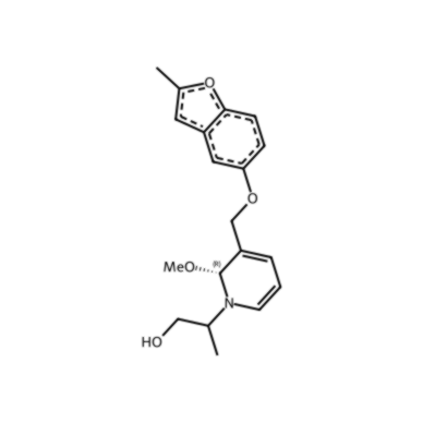 CO[C@@H]1C(COc2ccc3oc(C)cc3c2)=CC=CN1C(C)CO